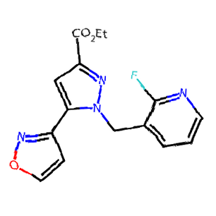 CCOC(=O)c1cc(-c2ccon2)n(Cc2cccnc2F)n1